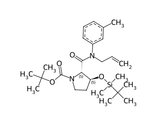 C=CCN(C(=O)[C@@H]1[C@@H](O[Si](C)(C)C(C)(C)C)CCN1C(=O)OC(C)(C)C)c1cccc(C)c1